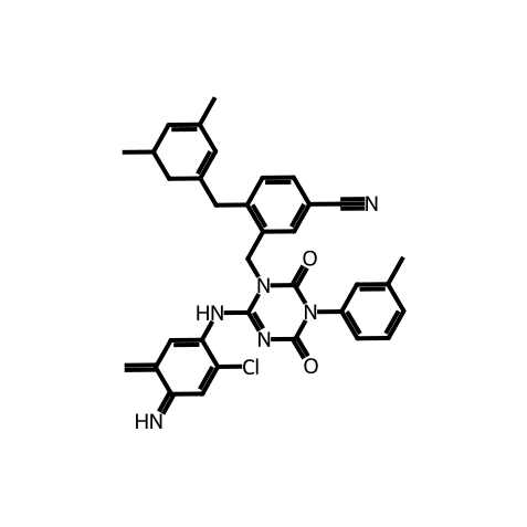 C=C1C=C(Nc2nc(=O)n(-c3cccc(C)c3)c(=O)n2Cc2cc(C#N)ccc2CC2=CC(C)=CC(C)C2)C(Cl)=CC1=N